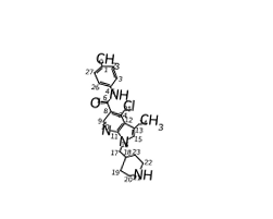 Cc1ccc(NC(=O)c2cnc3c(c(C)cn3CC3CCNCC3)c2Cl)cc1